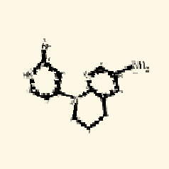 N=c1cc(N2CCCc3cc(N)cnc32)cc[nH]1